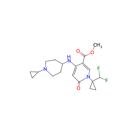 COC(=O)c1cn(C2(C(F)F)CC2)c(=O)cc1NC1CCN(C2CC2)CC1